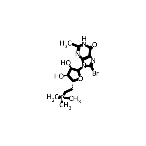 C=P(C)(C)CC[C@H]1OC(n2c(Br)nc3c(=O)[nH]c(C)nc32)[C@H](O)[C@@H]1O